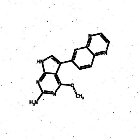 COc1nc(N)nc2[nH]cc(-c3ccc4nccnc4c3)c12